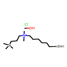 CCCCCCCCCCCCCCCC[N+](C)(C)CCC[Si](C)(C)C.CO.[Cl-]